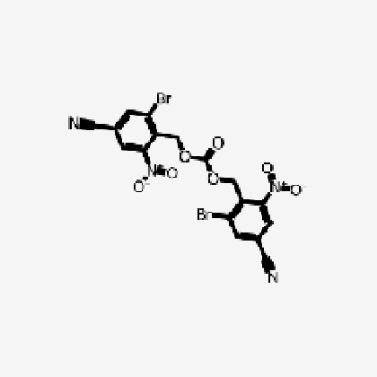 N#Cc1cc(Br)c(COC(=O)OCc2c(Br)cc(C#N)cc2[N+](=O)[O-])c([N+](=O)[O-])c1